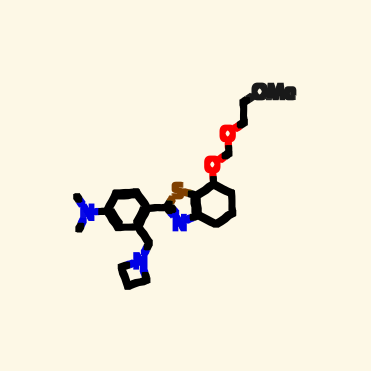 COCCOCOC1CCCc2nc(-c3ccc(N(C)C)cc3CN3CCC3)sc21